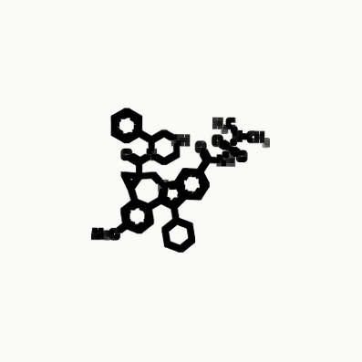 COc1ccc2c(c1)C1CC1(C(=O)N1CCNCC1c1ccccc1)Cn1c-2c(C2CCCCC2)c2ccc(C(=O)NS(=O)(=O)N(C)C)cc21